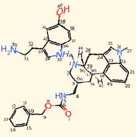 CN1C[C@H](CNC(=O)OCc2ccccc2)C[C@@H]2c3cccc4c3c(cn4C)C[C@H]21.NCCc1c[nH]c2ccc(O)cc12